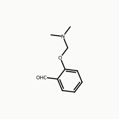 CN(C)COc1ccccc1C=O